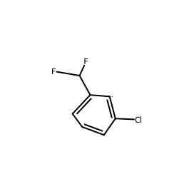 FC(F)c1[c]c(Cl)ccc1